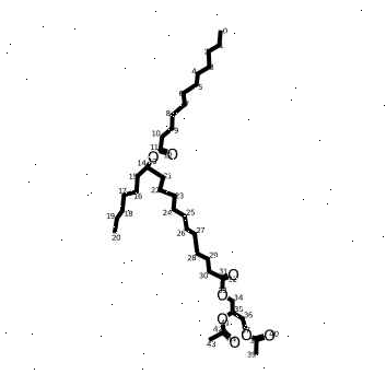 CCCCCCCCCCCC(=O)OC(CCCCCC)CCCCCCCCCCC(=O)OCC(COC(C)=O)OC(C)=O